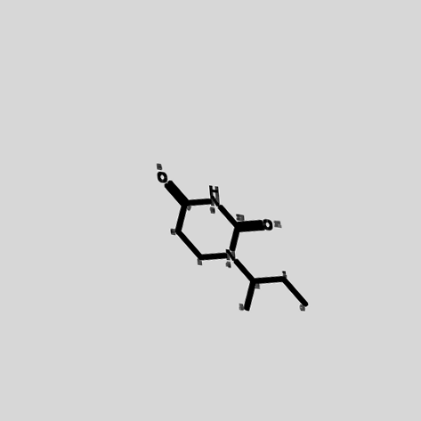 CCC(C)N1CCC(=O)NC1=O